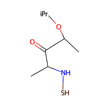 CC(C)OC(C)C(=O)C(C)NS